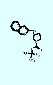 CC(C)(C)OC(=O)N1CC[C@H](Nc2cc3ccccc3cn2)C1